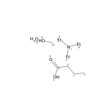 CCCC(=O)O.CCN(CC)CC.CO.O